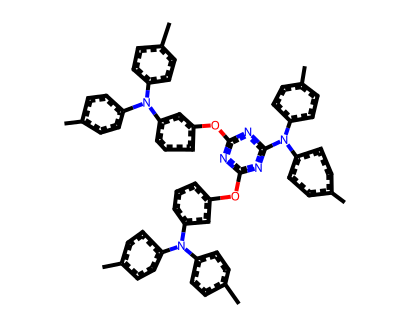 Cc1ccc(N(c2ccc(C)cc2)c2cccc(Oc3nc(Oc4cccc(N(c5ccc(C)cc5)c5ccc(C)cc5)c4)nc(N(c4ccc(C)cc4)c4ccc(C)cc4)n3)c2)cc1